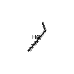 CCCCCCCC/C=C\CCCCCCCCC(O)CCCCCCCCCCCCCCCCC